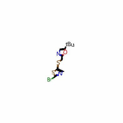 CC(C)(C)c1cnc(CSc2cnc(Br)s2)o1